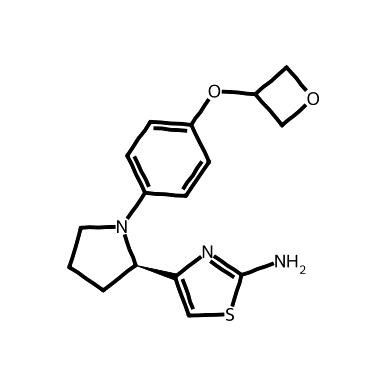 Nc1nc([C@H]2CCCN2c2ccc(OC3COC3)cc2)cs1